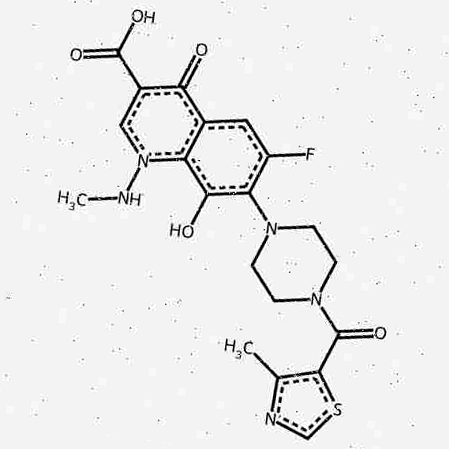 CNn1cc(C(=O)O)c(=O)c2cc(F)c(N3CCN(C(=O)c4scnc4C)CC3)c(O)c21